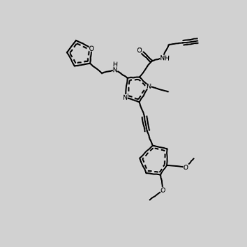 C#CCNC(=O)c1c(NCc2ccco2)nc(C#Cc2ccc(OC)c(OC)c2)n1C